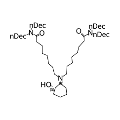 CCCCCCCCCCN(CCCCCCCCCC)C(=O)CCCCCCCN(CCCCCCCC(=O)N(CCCCCCCCCC)CCCCCCCCCC)[C@@H]1CCCC[C@@H]1O